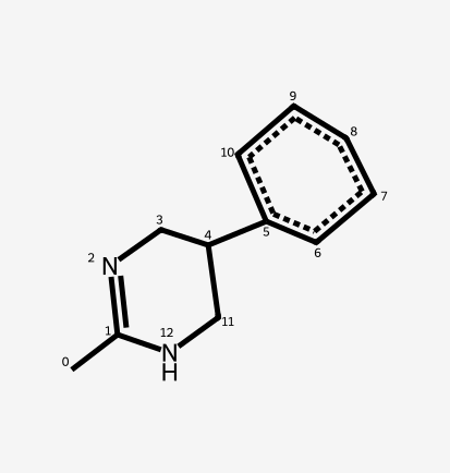 CC1=NCC(c2ccccc2)CN1